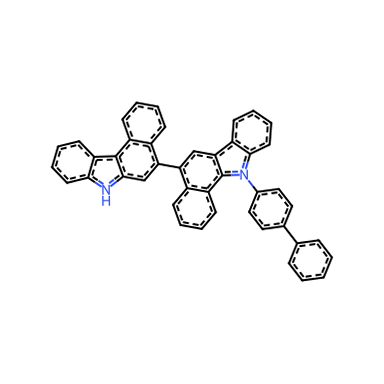 c1ccc(-c2ccc(-n3c4ccccc4c4cc(-c5cc6[nH]c7ccccc7c6c6ccccc56)c5ccccc5c43)cc2)cc1